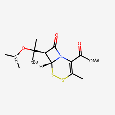 COC(=O)C1=C(C)SS[C@@H]2[C@@H](C(C)(O[SiH](C)C)C(C)(C)C)C(=O)N12